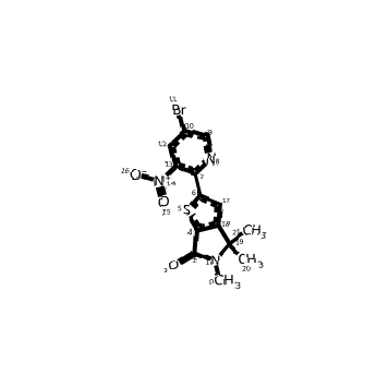 CN1C(=O)c2sc(-c3ncc(Br)cc3[N+](=O)[O-])cc2C1(C)C